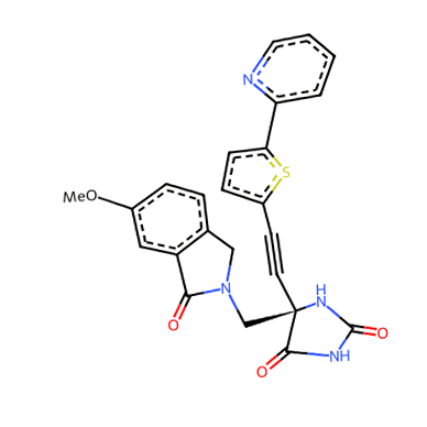 COc1ccc2c(c1)C(=O)N(C[C@@]1(C#Cc3ccc(-c4ccccn4)s3)NC(=O)NC1=O)C2